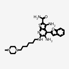 CN1CCN(CCCCCCNc2nc3sc(C(N)=O)c(N)c3c(-c3cc4ccccc4o3)c2N)CC1